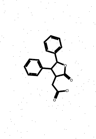 O=C(Cl)CC1C(=O)OC(c2ccccc2)C1c1ccccc1